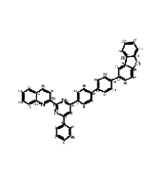 c1ccc(-c2cc(-c3ccc(-c4ccc(-c5ccc6oc7ccccc7c6c5)cc4)cc3)nc(-c3ccc4ccccc4n3)n2)cc1